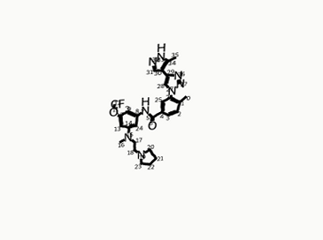 Cc1ccc(C(=O)Nc2cc(OC(F)(F)F)cc(N(C)CCN3CCCC3)c2)cc1-n1cc(-c2cn[nH]c2C)nn1